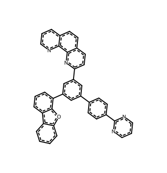 c1cnc(-c2ccc(-c3cc(-c4ccc5ccc6cccnc6c5n4)cc(-c4cccc5c4oc4ccccc45)c3)cc2)nc1